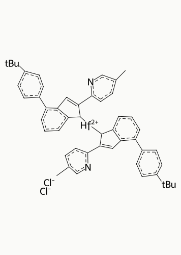 Cc1ccc(C2=Cc3c(-c4ccc(C(C)(C)C)cc4)cccc3[CH]2[Hf+2][CH]2C(c3ccc(C)cn3)=Cc3c(-c4ccc(C(C)(C)C)cc4)cccc32)nc1.[Cl-].[Cl-]